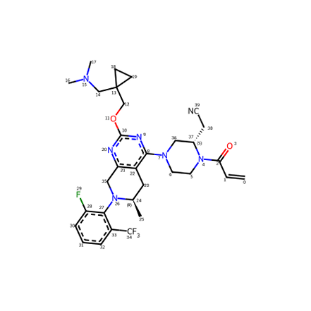 C=CC(=O)N1CCN(c2nc(OCC3(CN(C)C)CC3)nc3c2C[C@@H](C)N(c2c(F)cccc2C(F)(F)F)C3)C[C@@H]1CC#N